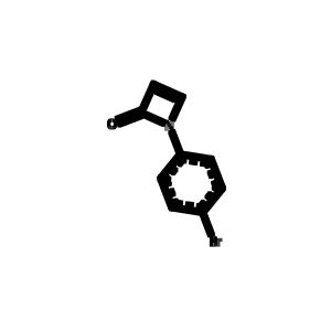 O=C1C=CN1c1ccc(Br)cc1